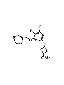 CO[C@H]1C[C@H](Oc2cc(F)c(F)c(OCc3ccccc3)c2)C1